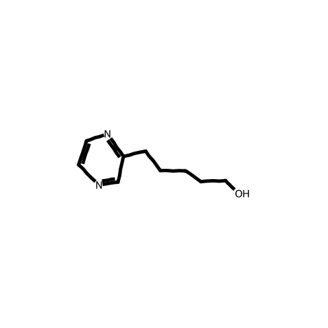 OCCCCCc1cnccn1